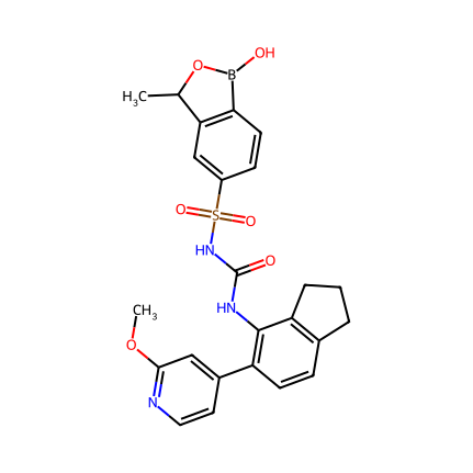 COc1cc(-c2ccc3c(c2NC(=O)NS(=O)(=O)c2ccc4c(c2)C(C)OB4O)CCC3)ccn1